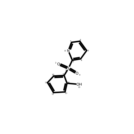 O=S(=O)(c1ccccn1)c1ccccc1O